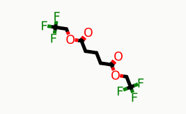 O=C(CCCC(=O)OCC(F)(F)F)OCC(F)(F)F